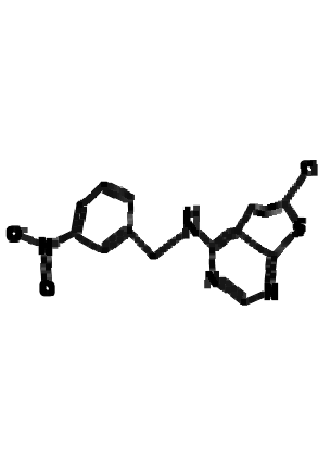 O=[N+]([O-])c1cccc(CNc2ncnc3sc(Cl)cc23)c1